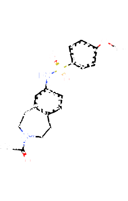 O=C(N1CCc2ccc(NS(=O)(=O)c3ccc(OC(F)(F)F)cc3)cc2CC1)C(F)(F)F